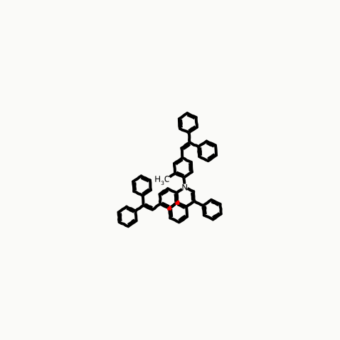 Cc1cc(C=C(c2ccccc2)c2ccccc2)ccc1N(C=C(c1ccccc1)c1ccccc1)c1ccc(C=C(c2ccccc2)c2ccccc2)cc1